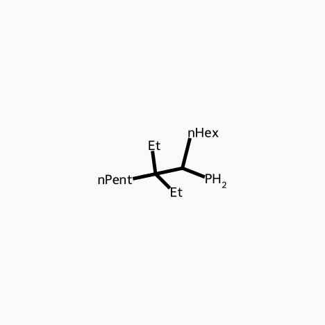 CCCCCCC(P)C(CC)(CC)CCCCC